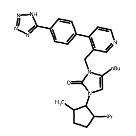 CCCCc1cn(C2C(C)CCC2C(C)C)c(=O)n1Cc1cnccc1-c1ccc(-c2nnn[nH]2)cc1